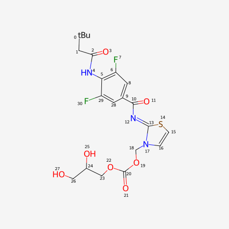 CC(C)(C)CC(=O)Nc1c(F)cc(C(=O)N=c2sccn2COC(=O)OCC(O)CO)cc1F